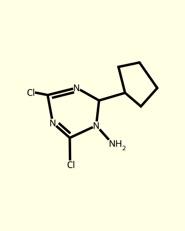 NN1C(Cl)=NC(Cl)=NC1C1CCCC1